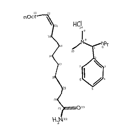 CCCC(c1ccccc1)N(C)C.CCCCCCCC/C=C\CCCCCCCC(N)=O.Cl